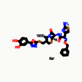 Nc1nc(/C(=N/OCc2ccccc2)C(=O)N[C@@H]2C(=O)N3C(C(=O)[O-])=C(CSc4nnc(-c5ccc(O)c(O)c5)o4)CS[C@H]23)cs1.[Na+]